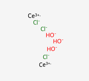 [Ce+3].[Ce+3].[Cl-].[Cl-].[Cl-].[OH-].[OH-].[OH-]